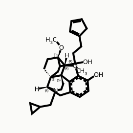 CO[C@]12CC[C@@]3(CC1[C@](C)(O)CCC1=CC=CC1)[C@H]1Cc4ccc(O)c5c4[C@@]3(CCN1CC1CC1)[C@H]2O5